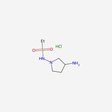 CCS(=O)(=O)NN1CCC(N)C1.Cl